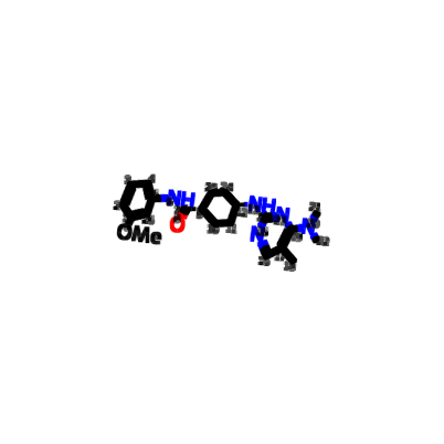 COc1cccc(NC(=O)[C@H]2CC[C@@H](Nc3ncc(C)c(N(C)C)n3)CC2)c1